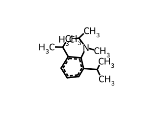 CC(C)c1cccc(C(C)C)c1N(C)C(C)C